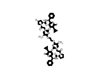 Cc1cn(CC(=O)N2CCC[C@H]2C(=O)N[C@@H](c2ccccc2)c2ccc(C3CC3)c(F)n2)c(=O)nc1OCCOc1nc(=O)n(CC(=O)N2C[C@H](F)C[C@H]2C(=O)N[C@@H](c2ccccc2)c2ccc(C3CC3)c(F)n2)cc1C